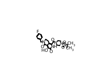 CN(C)S(=O)(=O)N1CCN(C(=O)c2[nH]c(=O)c(O)c3c2CCN(Cc2ccc(F)cc2)C3=O)CC1